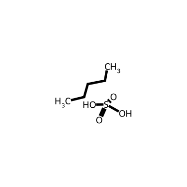 CCCCC.O=S(=O)(O)O